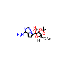 CC(=O)OC1[C@H]2OC(O)(c3ccc4c(N)ncnn34)[C@@H]3OC(C)(C)O[C@]123